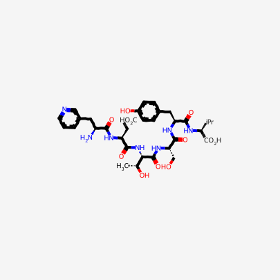 CC(C)[C@H](NC(=O)[C@H](Cc1ccc(O)cc1)NC(=O)[C@H](CO)NC(=O)[C@@H](NC(=O)[C@H](CC(=O)O)NC(=O)[C@@H](N)Cc1cccnc1)[C@@H](C)O)C(=O)O